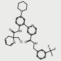 O=C(NCc1cccc(C(F)(F)F)c1)c1ccnc(-c2cc(N3CCCCC3)ccc2NC(=O)C2(CCl)CC=CC=N2)c1